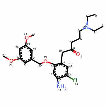 CCN(CC)CCCC(=O)Cc1cc(Cl)c(N)cc1OCc1cc(OC)cc(OC)c1